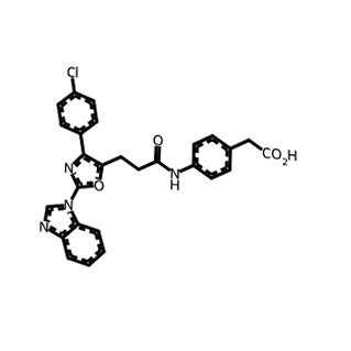 O=C(O)Cc1ccc(NC(=O)CCc2oc(-n3cnc4ccccc43)nc2-c2ccc(Cl)cc2)cc1